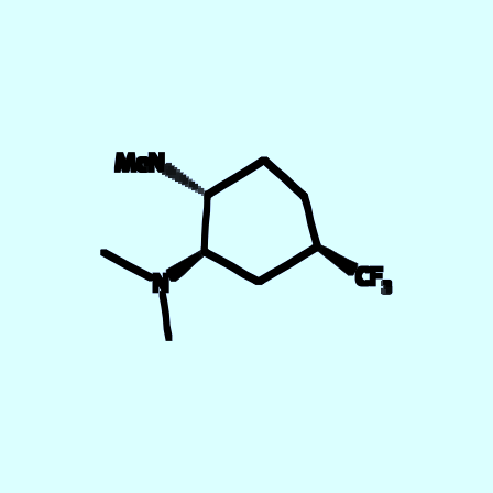 CN[C@@H]1CC[C@@H](C(F)(F)F)C[C@H]1N(C)C